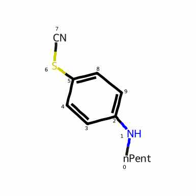 CCCCCNc1ccc(SC#N)cc1